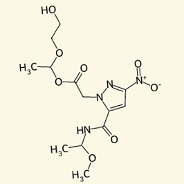 COC(C)NC(=O)c1cc([N+](=O)[O-])nn1CC(=O)OC(C)OCCO